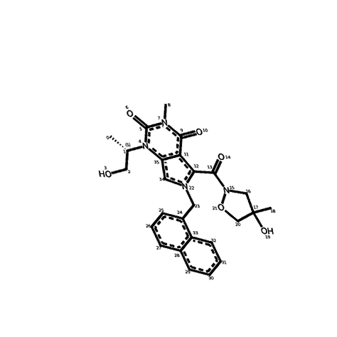 C[C@@H](CO)n1c(=O)n(C)c(=O)c2c(C(=O)N3CC(C)(O)CO3)n(Cc3cccc4ccccc34)cc21